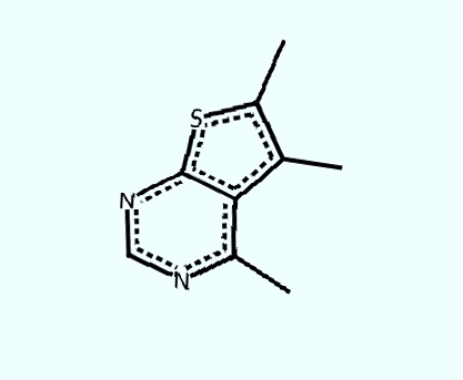 Cc1sc2ncnc(C)c2c1C